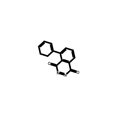 O=C1N=NC(=O)c2c1cccc2C1=CC=CCC1